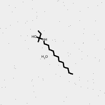 CCCCCCCCCCCCNC(C)(O)CC.O